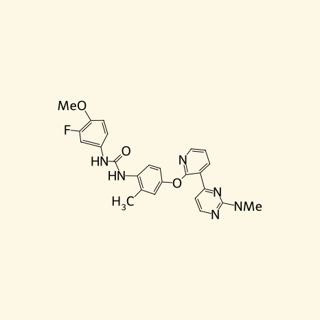 CNc1nccc(-c2cccnc2Oc2ccc(NC(=O)Nc3ccc(OC)c(F)c3)c(C)c2)n1